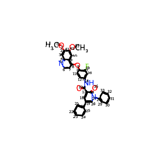 COc1cc2nccc(Oc3ccc(NC(=O)c4cc(-c5ccccc5)cn(-c5ccccc5)c4=O)cc3F)c2cc1OC